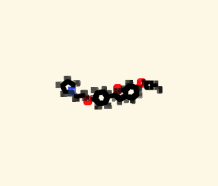 COc1ccc2cc(-c3ccc(OCCN4CCCC4)cc3)oc2c1